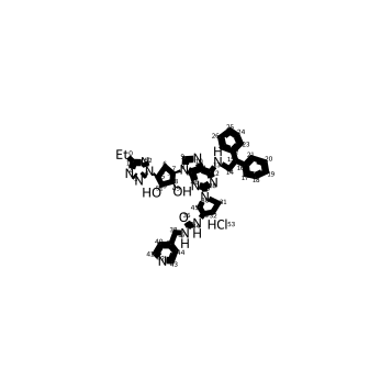 CCc1nnn([C@H]2C[C@@H](n3cnc4c(NCC(c5ccccc5)c5ccccc5)nc(N5CCC(NC(=O)NCc6ccncc6)C5)nc43)[C@H](O)[C@@H]2O)n1.Cl